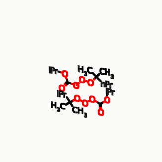 CC(C)OC(=O)OOOC(C)(C)C(C)C.CCCC(C)(C)OOOC(=O)OC(C)C